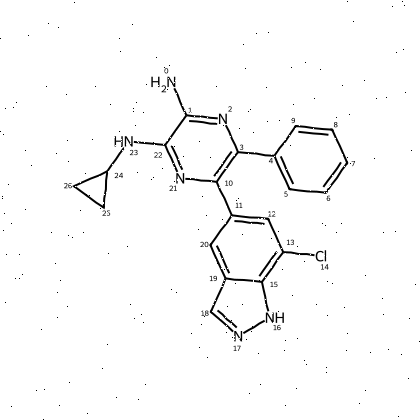 Nc1nc(-c2ccccc2)c(-c2cc(Cl)c3[nH]ncc3c2)nc1NC1CC1